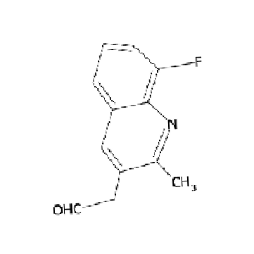 Cc1nc2c(F)cccc2cc1CC=O